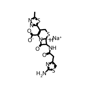 Cc1nnc(C2=C(C(=O)[O-])N3C(=O)C(NC(=O)Cc4csc(N)n4)[C@@H]3SC2)s1.[Na+]